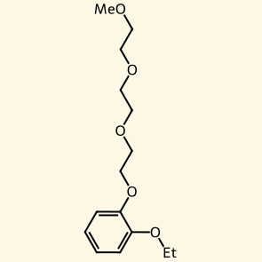 CCOc1ccccc1OCCOCCOCCOC